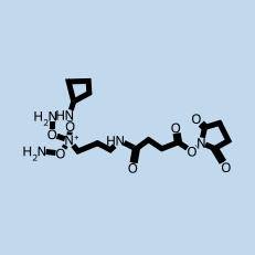 NO[N+](CCCNC(=O)CCC(=O)ON1C(=O)CCC1=O)(ON)ONC1CCC1